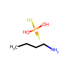 CCCCN.OP(O)(=S)S